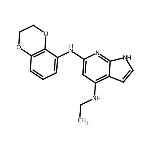 CCNc1cc(Nc2cc[c]c3c2OCCO3)nc2[nH]ccc12